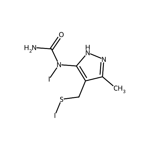 Cc1n[nH]c(N(I)C(N)=O)c1CSI